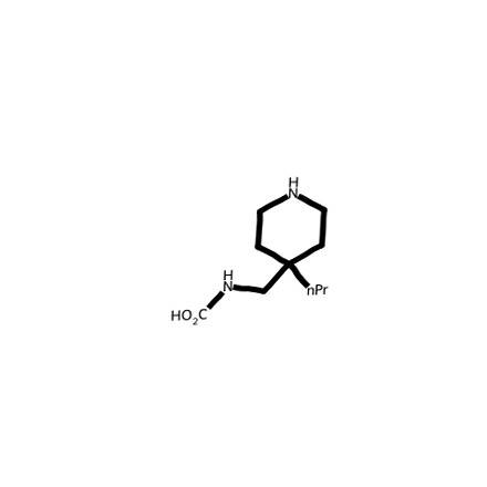 CCCC1(CNC(=O)O)CCNCC1